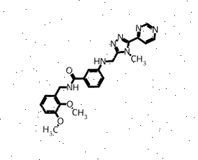 COc1cccc(CNC(=O)c2cccc(NCc3nnc(-c4ccncn4)n3C)c2)c1OC